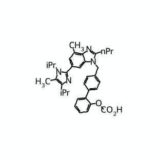 CCCc1nc2c(C)cc(-c3nc(C(C)C)c(C)n3C(C)C)cc2n1Cc1ccc(-c2ccccc2OC(=O)O)cc1